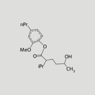 CCCc1ccc(OC(=O)C(CCC(C)O)C(C)C)c(OC)c1